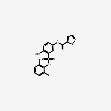 COc1ncc(NC(=O)c2ccns2)cc1S(=O)(=O)Nc1c(C)cccc1C